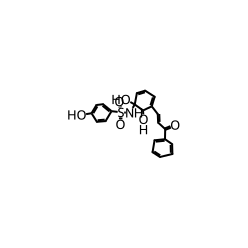 O=C(C=CC1=CC=CC(O)(NS(=O)(=O)c2ccc(O)cc2)C1O)c1ccccc1